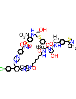 Cc1ncsc1-c1ccc([C@H](C)NC(=O)[C@@H]2C[C@@H](O)CN2C(=O)[C@@H](NC(=O)CCCCCCC(=O)N2CCN(CC3(C)CCC(c4ccc(Cl)cc4)=C(CN4CCN(c5ccc(C(=O)NS(=O)(=O)c6ccc(N[C@H](CCO)CSc7ccccc7)c([N+](=O)[O-])c6)cc5)CC4)C3)CC2)C(C)(C)C)cc1